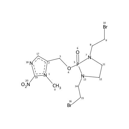 Cn1c(COP2(=O)N(CCBr)CCN2CCBr)cnc1[N+](=O)[O-]